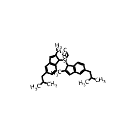 CC[SiH](C1C(C)=Cc2cc(CC(C)C)ccc21)C1C(C)=Cc2cc(CC(C)C)ccc21